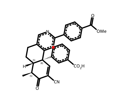 COC(=O)c1ccc(-c2ncc3c(n2)[C@@]2(c4cccc(C(=O)O)c4)C=C(C#N)C(=O)[C@@H](C)[C@@H]2CC3)cc1